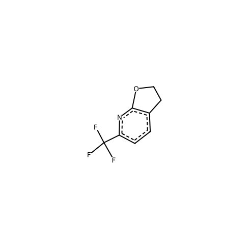 FC(F)(F)c1ccc2c(n1)OCC2